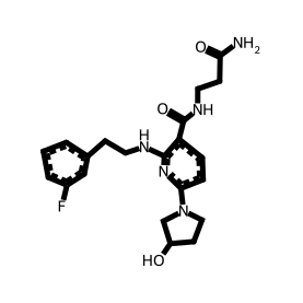 NC(=O)CCNC(=O)c1ccc(N2CCC(O)C2)nc1NCCc1cccc(F)c1